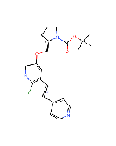 CC(C)(C)OC(=O)N1CCC[C@@H]1COc1cnc(Cl)c(/C=C/c2ccncc2)c1